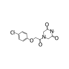 O=C1CN(C(=O)COc2ccc(Cl)cc2)CC(=O)[N]1